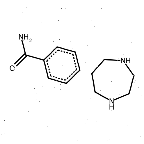 C1CNCCNC1.NC(=O)c1ccccc1